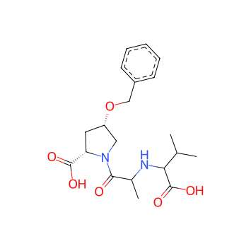 CC(NC(C(=O)O)C(C)C)C(=O)N1C[C@@H](OCc2ccccc2)C[C@H]1C(=O)O